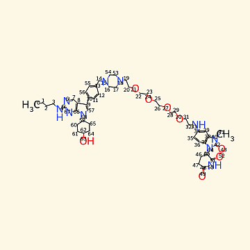 CCCCNc1ncc2c(-c3ccc(CN4CCN(CCOCCOCCOCCOCCNc5ccc6c(c5)n(C)c(=O)n6[C@H]5CCC(=O)NC5=O)CC4)cc3)cn([C@H]3CC[C@H](O)CC3)c2n1